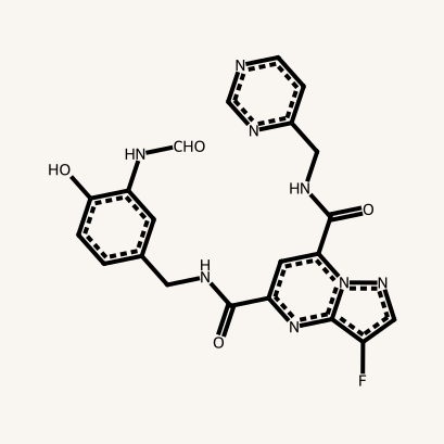 O=CNc1cc(CNC(=O)c2cc(C(=O)NCc3ccncn3)n3ncc(F)c3n2)ccc1O